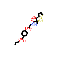 CCCOC(=O)c1ccc(OC(=O)CNC(=O)C(C)(S)C(=O)c2cccs2)cc1